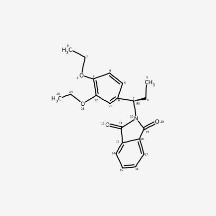 CCOc1ccc([C@@H](CC)N2C(=O)c3ccccc3C2=O)cc1OCC